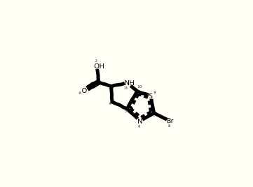 O=C(O)C1Cc2nc(Br)sc2N1